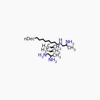 C=CC.C=CC.CC(N)CN.CCCCCCCCCCCCCCCCCCNCC(C)N